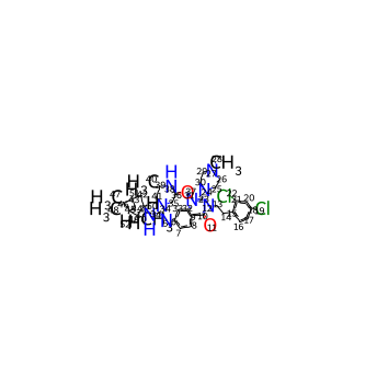 C[C@H]1[C@@H](NC(=Nc2ccc3c(=O)n(CCc4ccc(Cl)cc4Cl)c(N4CCN(C)CC4)nc3c2)N2CC(=O)N[C@@H](C)C2)C[C@H]2C[C@H]1C2(C)C